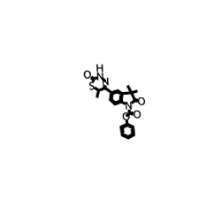 CC1SC(=O)NN=C1c1ccc2c(c1)C(C)(C)C(=O)N2C(=O)Oc1ccccc1